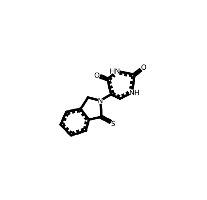 O=c1[nH]cc(N2Cc3ccccc3C2=S)c(=O)[nH]1